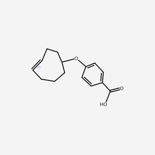 O=C(O)c1ccc(OC2CC/C=C/CCC2)cc1